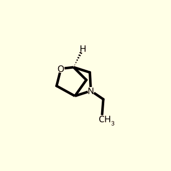 CCN1C[C@H]2CC1CO2